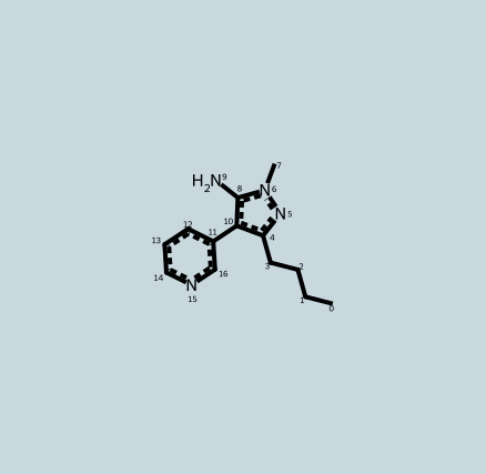 CCCCc1nn(C)c(N)c1-c1cccnc1